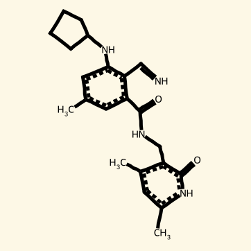 Cc1cc(NC2CCCC2)c(C=N)c(C(=O)NCc2c(C)cc(C)[nH]c2=O)c1